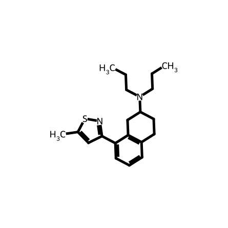 CCCN(CCC)C1CCc2cccc(-c3cc(C)sn3)c2C1